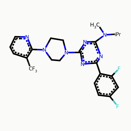 CC(C)N(C)c1nc(-c2ccc(F)cc2F)nc(N2CCN(c3ncccc3C(F)(F)F)CC2)n1